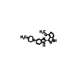 COc1cccc2[nH]nc(-c3nc4cc(N5CCN(C)CC5)ccc4[nH]3)c12